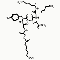 CCCCCCCCCCCCCCCC(=O)NCC(=O)NCC(=O)N[C@@H](Cc1ccc(O)cc1)C(=O)N[C@@H](CCC(N)=O)C(=O)N[C@@H](CCCCN)C(=O)N[C@H](C)CCCCN